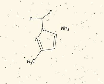 Cc1ccn(C(F)F)n1.N